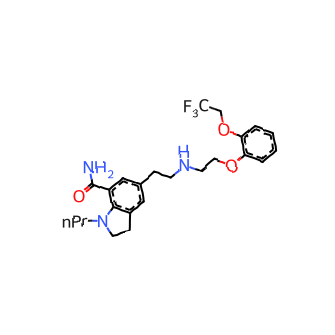 CCCN1CCc2cc(CCNCCOc3ccccc3OCC(F)(F)F)cc(C(N)=O)c21